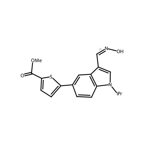 COC(=O)c1ccc(-c2ccc3c(c2)c(/C=N\O)cn3C(C)C)s1